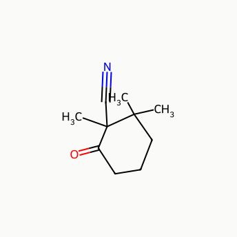 CC1(C)CCCC(=O)C1(C)C#N